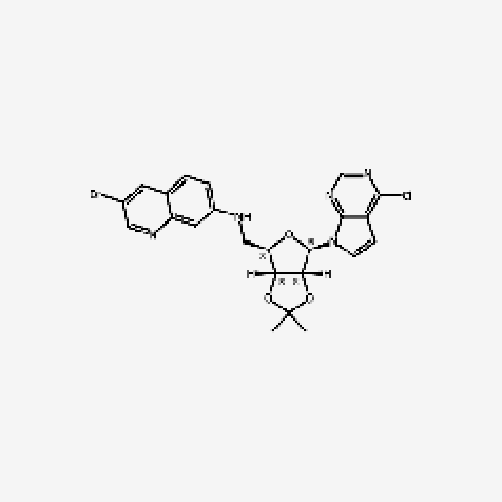 CC1(C)O[C@@H]2[C@H](O1)[C@@H](CNc1ccc3cc(Br)cnc3c1)O[C@H]2n1ccc2c(Cl)ncnc21